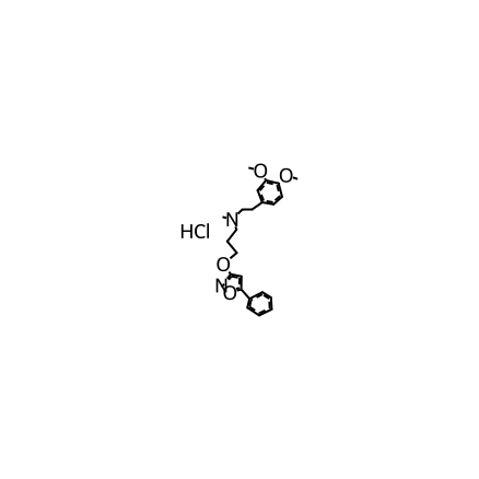 COc1ccc(CCN(C)CCCOc2cc(-c3ccccc3)on2)cc1OC.Cl